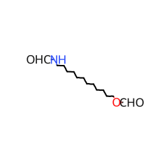 O=CNCCCCCCCCCCCCOC=O